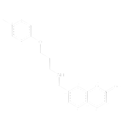 Cc1ccc(OCCCNCc2ccc3ccc(=O)oc3c2)cc1